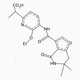 CCOc1nc(C(C)C(=O)O)ccc1NC(=O)c1coc2c1C(=O)NC(C)(C)C2